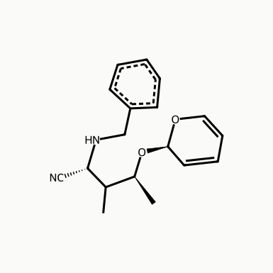 CC([C@H](C#N)NCc1ccccc1)[C@H](C)O[C@@H]1C=CC=CO1